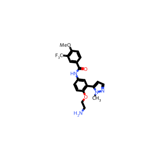 COc1ccc(C(=O)Nc2ccc(OCCN)c(-c3ccnn3C)c2)cc1C(F)(F)F